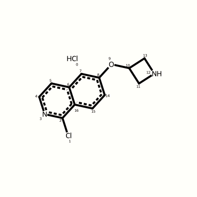 Cl.Clc1nccc2cc(OC3CNC3)ccc12